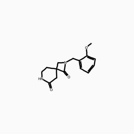 COc1ccccc1CN1CC2(CCNC(=O)C2)C1=O